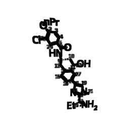 CCCOc1ccc(C(=O)N[C@H](CCO)Cc2ccc(-c3cn(C)c([C@H](N)CC)n3)cc2)cc1Cl